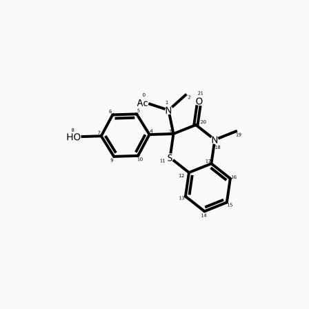 CC(=O)N(C)C1(c2ccc(O)cc2)Sc2ccccc2N(C)C1=O